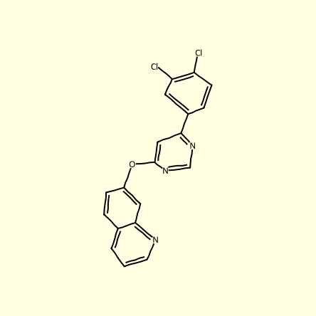 Clc1ccc(-c2cc(Oc3ccc4cccnc4c3)ncn2)cc1Cl